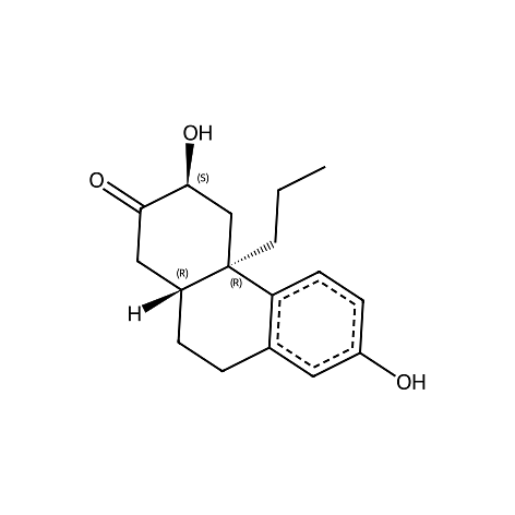 CCC[C@@]12C[C@H](O)C(=O)C[C@H]1CCc1cc(O)ccc12